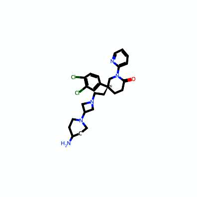 NC1CCN(C2CN(CC[C@]3(c4ccc(Cl)c(Cl)c4)CCC(=O)N(c4ccccn4)C3)C2)CC1